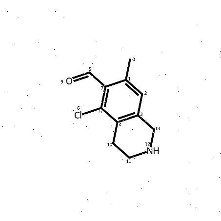 Cc1cc2c(c(Cl)c1C=O)CCNC2